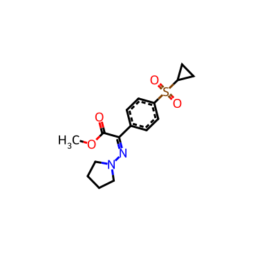 COC(=O)C(=NN1CCCC1)c1ccc(S(=O)(=O)C2CC2)cc1